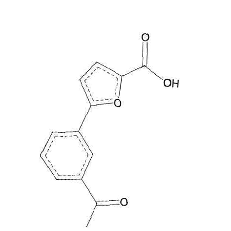 CC(=O)c1cccc(-c2ccc(C(=O)O)o2)c1